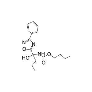 CCCCOC(=O)NC(O)(CCC)c1nc(-c2ccccc2)no1